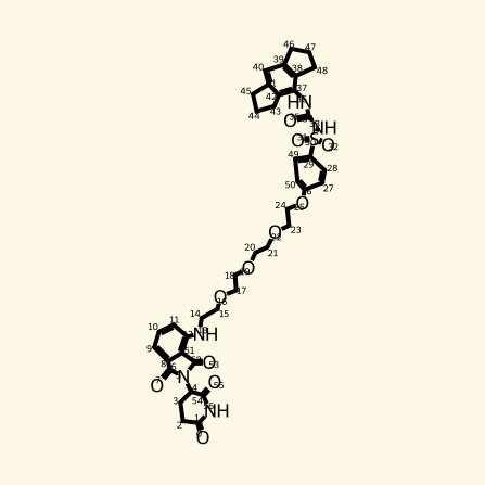 O=C1CCC(N2C(=O)c3cccc(NCCOCCOCCOCCOc4ccc(S(=O)(=O)NC(=O)Nc5c6c(cc7c5CCC7)CCC6)cc4)c3C2=O)C(=O)N1